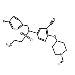 CCCS(=O)(=O)N(Cc1ccc(F)cc1)c1ccc(OC2CCN(C=O)CC2)c(C#N)c1